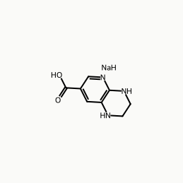 O=C(O)c1cnc2c(c1)NCCN2.[NaH]